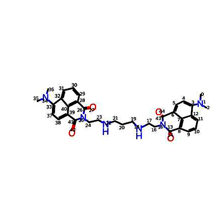 CN(C)c1ccc2c3c(cccc13)C(=O)N(CCNCCCNCCN1C(=O)c3cccc4c(N(C)C)ccc(c34)C1=O)C2=O